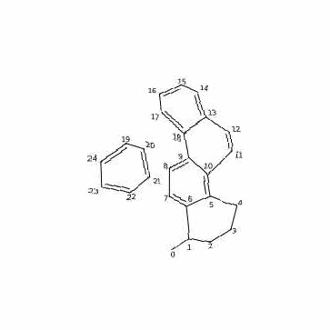 CC1CCCc2c1ccc1c2ccc2ccccc21.c1ccccc1